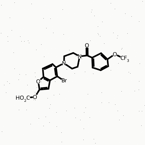 O=C(O)Oc1cc2c(Br)c(N3CCN(C(=O)c4cccc(OC(F)(F)F)c4)CC3)ccc2o1